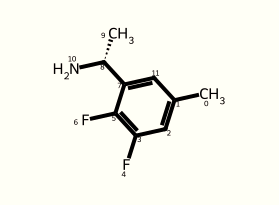 Cc1cc(F)c(F)c([C@@H](C)N)c1